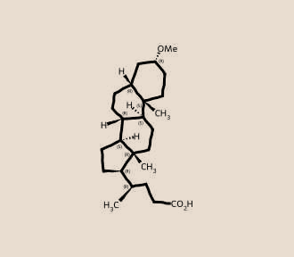 CO[C@@H]1CC[C@@]2(C)[C@H](CC[C@@H]3[C@@H]2CC[C@]2(C)[C@@H]([C@H](C)CCC(=O)O)CC[C@@H]32)C1